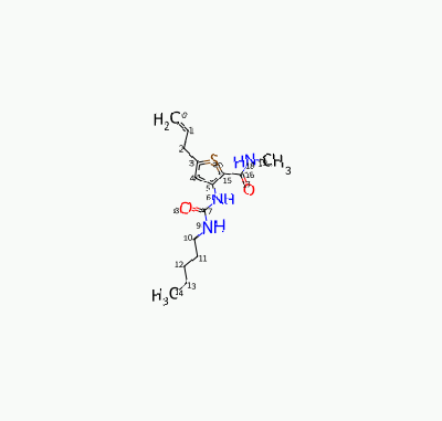 C=CCc1cc(NC(=O)NCCCCC)c(C(=O)NC)s1